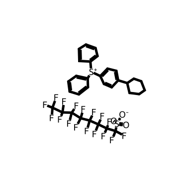 O=S(=O)([O-])C(F)(F)C(F)(F)C(F)(F)C(F)(F)C(F)(F)C(F)(F)C(F)(F)C(F)(F)F.c1ccc([S+](c2ccccc2)c2ccc(C3CCCCC3)cc2)cc1